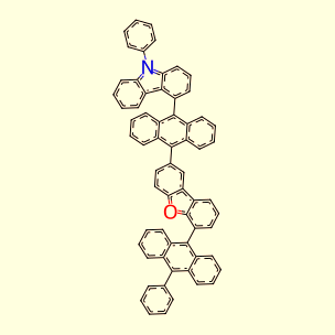 c1ccc(-c2c3ccccc3c(-c3cccc4c3oc3ccc(-c5c6ccccc6c(-c6cccc7c6c6ccccc6n7-c6ccccc6)c6ccccc56)cc34)c3ccccc23)cc1